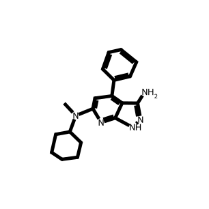 CN(c1cc(-c2ccccc2)c2c(N)n[nH]c2n1)C1CCCCC1